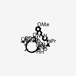 COc1ccc2c(O[C@@H]3C[C@H]4C(=O)N[C@]5(C(=O)NS(=O)(=O)C6CC6)C[C@H]5C=CCC[C@@H](C)C[C@@H](C)[C@H](N(C(=O)O)C(C)(C)C(F)(F)F)C(=O)N4C3)nc(-c3ccc(OC(C)C)cn3)cc2c1